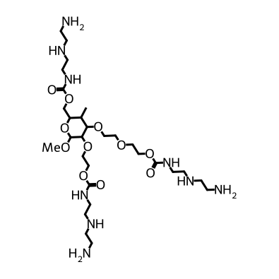 COC1OC(COC(=O)NCCNCCN)C(C)C(OCCOCCOC(=O)NCCNCCN)C1OCCOC(=O)NCCNCCN